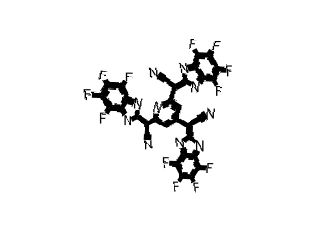 N#CC(=C1N=c2c(F)c(F)c(F)c(F)c2=N1)c1cc(C(C#N)=C2N=c3c(F)c(F)c(F)c(F)c3=N2)nc(C(C#N)=C2N=c3c(F)c(F)c(F)c(F)c3=N2)c1